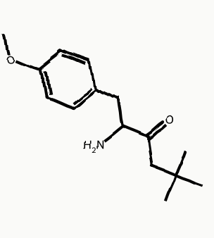 COc1ccc(CC(N)C(=O)CC(C)(C)C)cc1